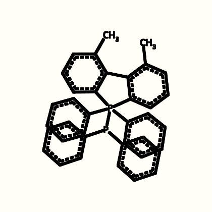 Cc1cccc2c1-c1c(C)cccc1P2(c1ccccc1)(c1ccccc1)P(c1ccccc1)c1ccccc1